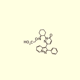 O=C(O)CO/N=C1\CCCCC1n1nc(-c2c(-c3ccccc3)nn3ccccc23)ccc1=O